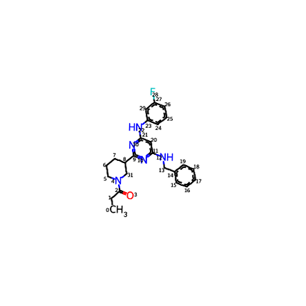 CCC(=O)N1CCCC(c2nc(NCc3ccccc3)cc(Nc3cccc(F)c3)n2)C1